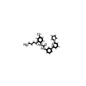 O=C(Nc1cccc(-c2cccc(N3CCCC3)n2)c1)Nc1ccc(Cl)cc1CCCCO